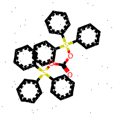 O=C(OS(c1ccccc1)(c1ccccc1)c1ccccc1)OS(c1ccccc1)(c1ccccc1)c1ccccc1